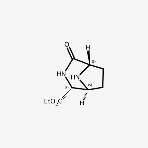 CCOC(=O)[C@@H]1NC(=O)[C@@H]2CC[C@@H]1N2